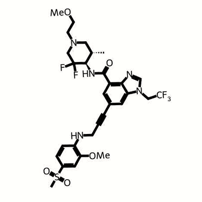 COCCN1C[C@H](C)[C@@H](NC(=O)c2cc(C#CCNc3ccc(S(C)(=O)=O)cc3OC)cc3c2ncn3CC(F)(F)F)C(F)(F)C1